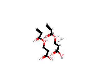 C=CC(=O)OCCC(=O)[O-].C=CC(=O)OCCC(=O)[O-].[Cu+2]